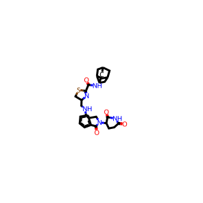 O=C1CCC(N2Cc3c(NCC4CSC(C(=O)NC56CC7CC(CC5C7)C6)=N4)cccc3C2=O)C(=O)N1